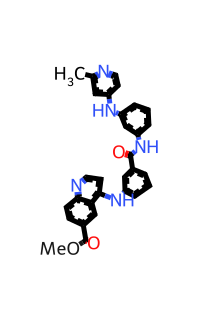 COC(=O)c1ccc2nccc(Nc3cccc(C(=O)Nc4cccc(Nc5ccnc(C)c5)c4)c3)c2c1